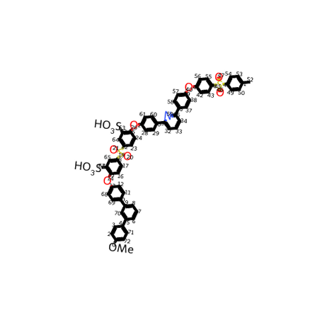 COc1ccc(-c2cccc(-c3ccc(Oc4ccc(S(=O)(=O)c5ccc(Oc6ccc(-c7cccc(-c8ccc(Oc9ccc(S(=O)(=O)c%10ccc(C)cc%10)cc9)cc8)n7)cc6)c(S(=O)(=O)O)c5)cc4S(=O)(=O)O)cc3)c2)cc1